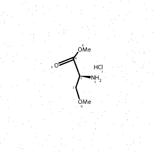 COC[C@H](N)C(=O)OC.Cl